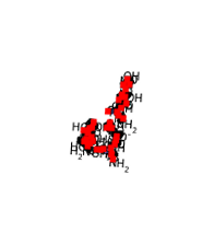 CC(C)(O/N=C(\C(=O)N[C@@H]1C(=O)N2C(C(=O)[O-])=C(C[n+]3ccccc3)CS[C@H]12)c1csc(N)n1)C(=O)O.CN(C)[C@@H]1C(O)=C(C(N)=O)C(=O)[C@@]2(O)C(O)=C3C(=O)c4c(O)cccc4[C@@](C)(O)[C@H]3C[C@@H]12.CO/N=C(\C(=O)N[C@@H]1C(=O)N2C(C(=O)O)=C(CSc3nc(=O)c(O)nn3C)CS[C@H]12)c1csc(N)n1